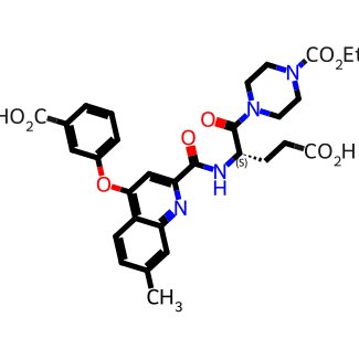 CCOC(=O)N1CCN(C(=O)[C@H](CCC(=O)O)NC(=O)c2cc(Oc3cccc(C(=O)O)c3)c3ccc(C)cc3n2)CC1